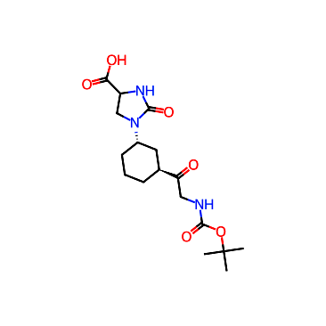 CC(C)(C)OC(=O)NCC(=O)[C@H]1CCC[C@H](N2CC(C(=O)O)NC2=O)C1